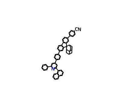 N#Cc1ccc(-c2ccc3c(c2)C2(c4cc(-c5ccc(-c6cc(-c7ccccc7)nc(-c7cccc8ccccc78)c6)cc5)ccc4-3)C3CC4CC(C3)CC2C4)cc1